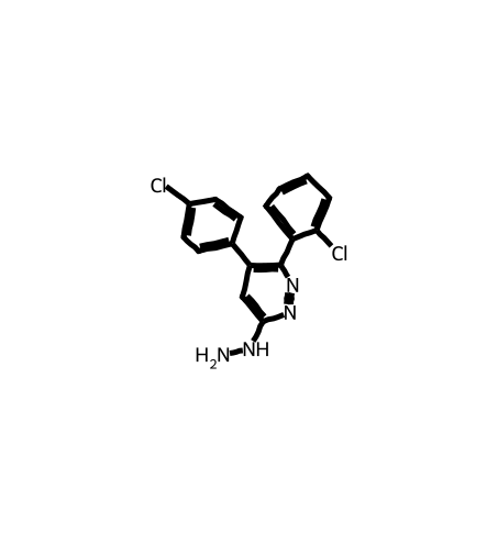 NNc1cc(-c2ccc(Cl)cc2)c(-c2ccccc2Cl)nn1